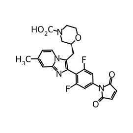 Cc1ccn2c(C[C@H]3CN(C(=O)O)CCO3)c(-c3c(F)cc(N4C(=O)C=CC4=O)cc3F)nc2c1